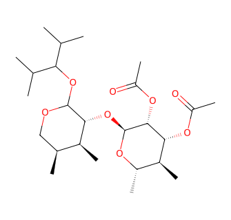 CC(=O)O[C@@H]1[C@@H](C)[C@H](C)O[C@@H](O[C@H]2C(OC(C(C)C)C(C)C)OC[C@H](C)[C@@H]2C)[C@@H]1OC(C)=O